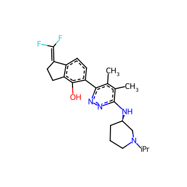 Cc1c(N[C@@H]2CCCN(C(C)C)C2)nnc(-c2ccc3c(c2O)CCC3=C(F)F)c1C